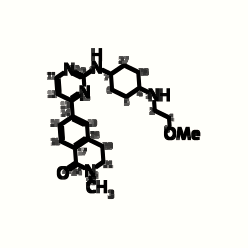 COCCNC1CCC(Nc2nccc(-c3ccc4c(c3)CCN(C)C4=O)n2)CC1